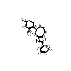 Cc1ccc(C2CCCc3oc(-c4ccccn4)nc3C2)c(Cl)c1